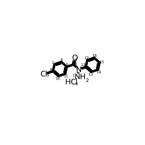 Cl.NN(C(=O)c1ccc(Cl)cc1)c1ccccc1